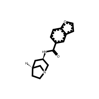 O=C(N[C@@H]1C[C@@H]2CCN(C2)C1)c1ccc2occc2c1